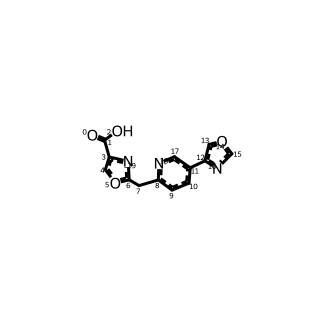 O=C(O)c1coc(Cc2ccc(-c3cocn3)cn2)n1